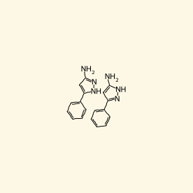 Nc1cc(-c2ccccc2)[nH]n1.Nc1cc(-c2ccccc2)n[nH]1